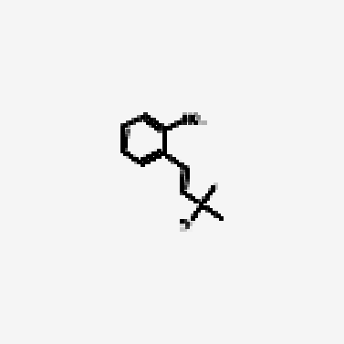 CCC(C)(C)C=Cc1ccccc1[N+](=O)[O-]